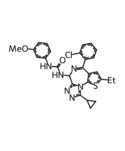 CCc1cc2c(s1)-n1c(C3CC3)nnc1C(NC(=O)Nc1cccc(OC)c1)N=C2c1ccccc1Cl